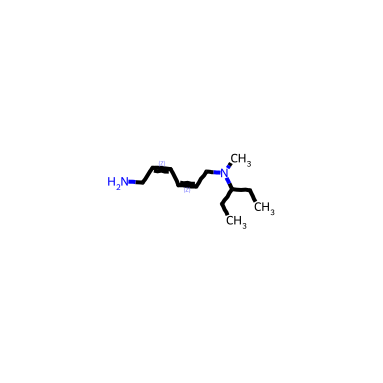 CCC(CC)N(C)C/C=C\C=C/CN